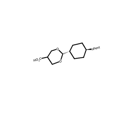 CCCCC[C@H]1CC[C@H](C2OCC(C(=O)O)CO2)CC1